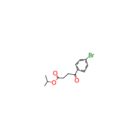 CC(C)OC(=O)CCC(=O)c1ccc(Br)cc1